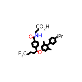 Cc1cc(OC(CCCC(F)(F)F)c2ccc(C(=O)NCCC(=O)O)cc2)cc(C)c1-c1ccc(C(C)C)cc1